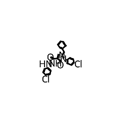 O=C(NNc1ccc(Cl)cc1)c1cn(Cc2ccccc2)n(-c2ccc(Cl)cc2)c1=O